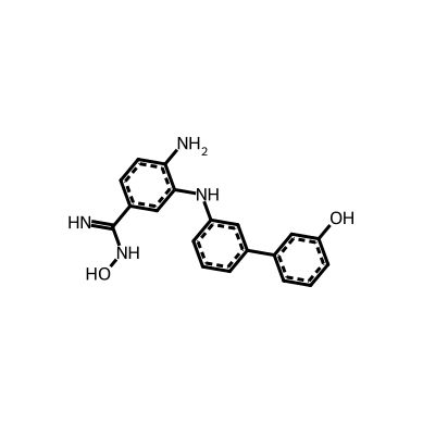 N=C(NO)c1ccc(N)c(Nc2cccc(-c3cccc(O)c3)c2)c1